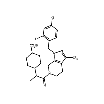 CCOC(=O)C1CCC(C(C)C(=O)N2CCc3c(C(F)(F)F)nn(Cc4ccc(Cl)cc4F)c3C2)CC1